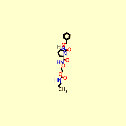 CCCNC(=O)OCCONC(=O)[C@@H]1CC[C@@H]2CN1C(=O)N2OCc1ccccc1